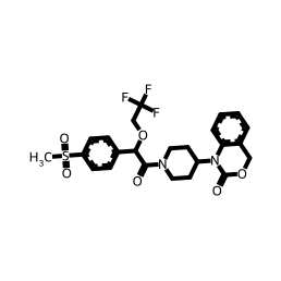 CS(=O)(=O)c1ccc(C(OCC(F)(F)F)C(=O)N2CCC(N3C(=O)OCc4ccccc43)CC2)cc1